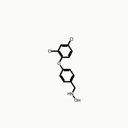 ONCc1ccc(Oc2ccc(Cl)cc2Cl)cc1